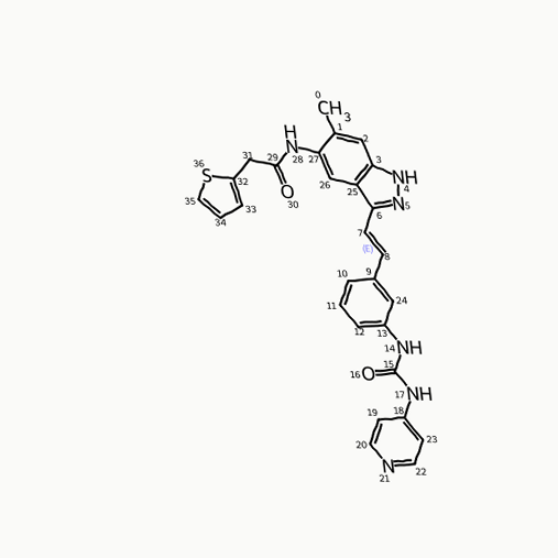 Cc1cc2[nH]nc(/C=C/c3cccc(NC(=O)Nc4ccncc4)c3)c2cc1NC(=O)Cc1cccs1